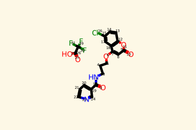 O=C(NCCCOc1cc(=O)oc2ccc(Cl)cc12)c1cccnc1.O=C(O)C(F)(F)F